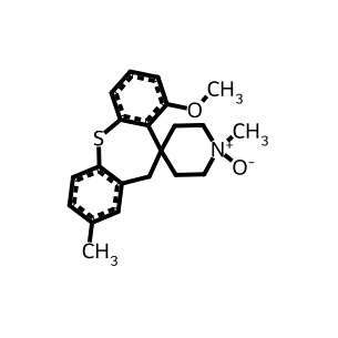 COc1cccc2c1C1(CC[N+](C)([O-])CC1)Cc1cc(C)ccc1S2